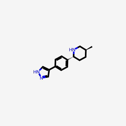 C[C@H]1CC[C@H](c2ccc(-c3cn[nH]c3)cc2)NC1